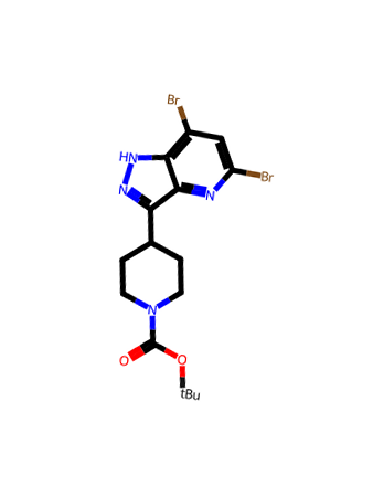 CC(C)(C)OC(=O)N1CCC(c2n[nH]c3c(Br)cc(Br)nc23)CC1